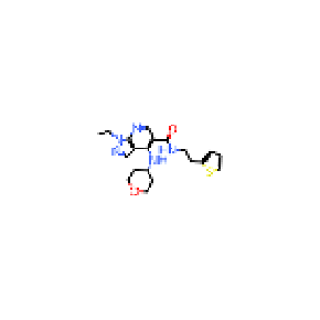 CCn1ncc2c(NC3CCOCC3)c(C(=O)NCCc3cccs3)cnc21